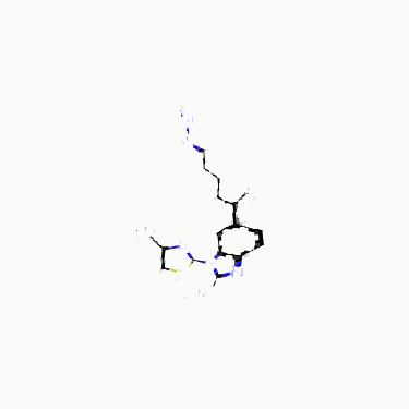 CCC1CSC(n2c(NC(C)=O)nc3ccc(C(CC)CCCC=NN)cc32)=N1